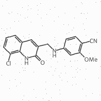 COc1cc(NCc2cc3cccc(Cl)c3[nH]c2=O)ccc1C#N